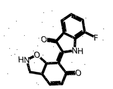 O=C1C=CC2CNOC2C1=C1Nc2c(F)cccc2C1=O